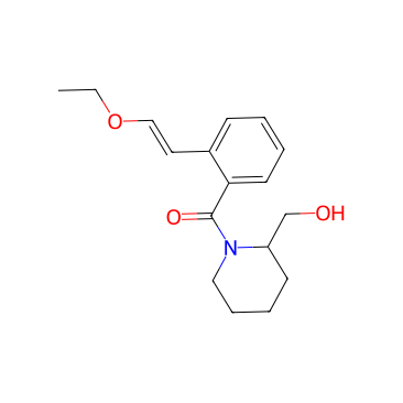 CCO/C=C/c1ccccc1C(=O)N1CCCCC1CO